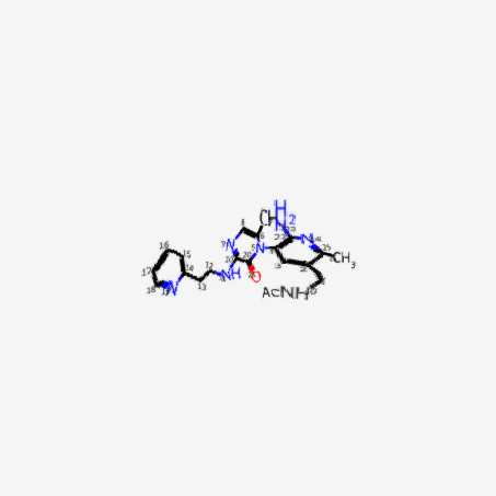 CC(=O)NCc1cc(-n2c(C)cnc(NCCc3ccccn3)c2=O)c(N)nc1C